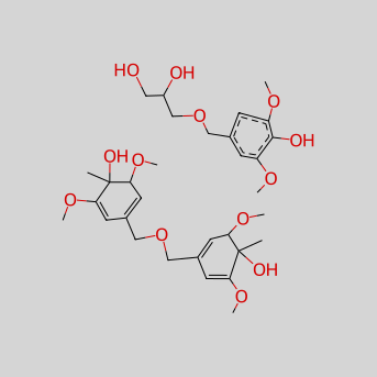 COC1=CC(COCC2=CC(OC)C(C)(O)C(OC)=C2)=CC(OC)C1(C)O.COc1cc(COCC(O)CO)cc(OC)c1O